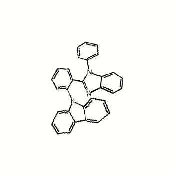 c1ccc(-n2c(-c3ccccc3-n3c4ccccc4c4ccccc43)nc3ccccc32)cc1